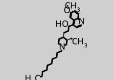 CCCCCCCCCCN1CC[C@@H](CC[C@@H](O)c2ccnc3ccc(OC)cc23)[C@@H](CC)C1